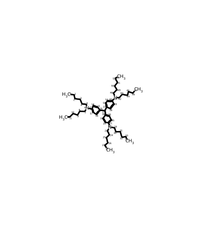 CCCCCCN(CCCCCC)c1ccc(C(c2ccc(N(CCCCCC)CCCCCC)cc2)c2ccc(N(CCCCCC)CCCCCC)cc2)cc1